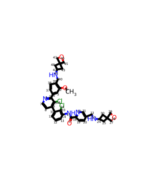 COc1cc(-c2nccc(-c3cccc(NC(=O)c4ccc(CNC5CC6(COC6)C5)cn4)c3Cl)c2Cl)ccc1CNC1CC2(COC2)C1